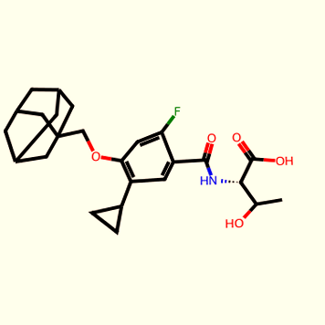 CC(O)[C@H](NC(=O)c1cc(C2CC2)c(OCC23CC4CC(CC(C4)C2)C3)cc1F)C(=O)O